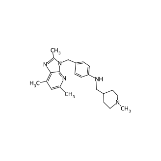 Cc1cc(C)c2nc(C)n(Cc3ccc(NCC4CCN(C)CC4)cc3)c2n1